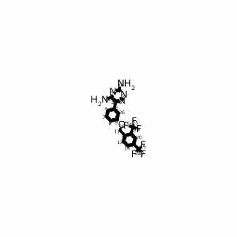 Nc1nnc(-c2cccc(OCc3ccc(C(F)(F)F)cc3C(F)(F)F)c2)c(N)n1